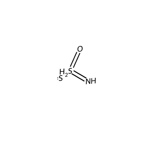 N=[SH2]=O.[S]